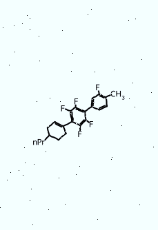 CCCC1CC=C(c2c(F)c(F)c(-c3ccc(C)c(F)c3)c(F)c2F)CC1